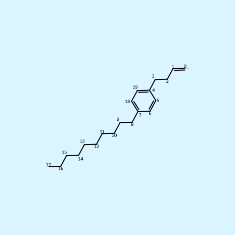 [CH]=CCCc1ccc(CCCCCCCCCC)cc1